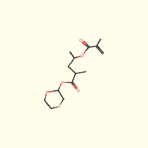 C=C(C)C(=O)OC(C)CC(C)C(=O)OC1CSCCO1